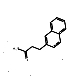 NC(=O)CCc1ccc2ccccc2c1